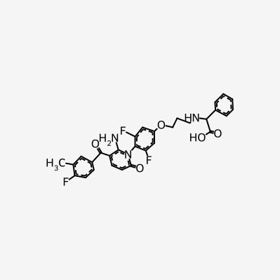 Cc1cc(C(=O)c2ccc(=O)n(-c3c(F)cc(OCCCNC(C(=O)O)c4ccccc4)cc3F)c2N)ccc1F